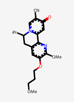 COCCCOc1cc2c(nc1OC)-c1cc(=O)c(C#N)cn1C(C(C)C)C2